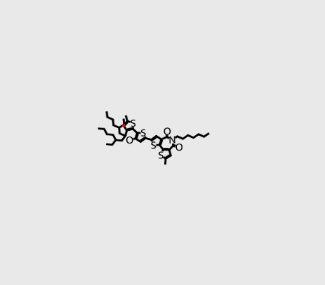 CCCCCCCn1c(=O)c2cc(C)sc2c2sc(-c3cc4c(s3)-c3sc(C)cc3C(CC(CC)CCCC)(CC(CC)CCCC)O4)cc2c1=O